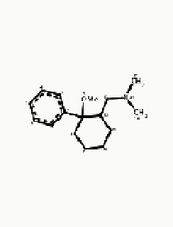 COC1(c2ccccc2)CCCCC1CN(C)C